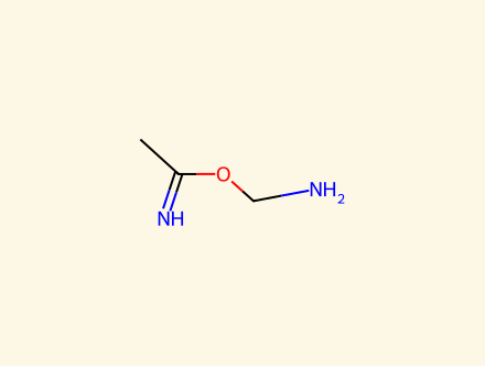 CC(=N)OCN